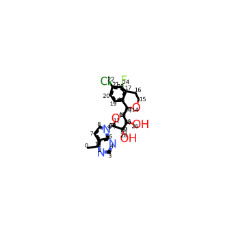 Cc1ncnc2c1ccn2[C@@H]1O[C@H]([C@@H]2OCCc3c2ccc(Cl)c3F)[C@@H](O)[C@H]1O